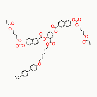 C=CC(=O)OCCCCOC(=O)Oc1ccc2cc(C(=O)Oc3ccc(OC(=O)c4ccc5cc(OC(=O)OCCCCOC(=O)C=C)ccc5c4)c(C(=O)OCCCCCCOc4ccc(-c5ccc(C#N)cc5)cc4)c3)ccc2c1